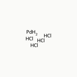 Cl.Cl.Cl.Cl.[PdH2]